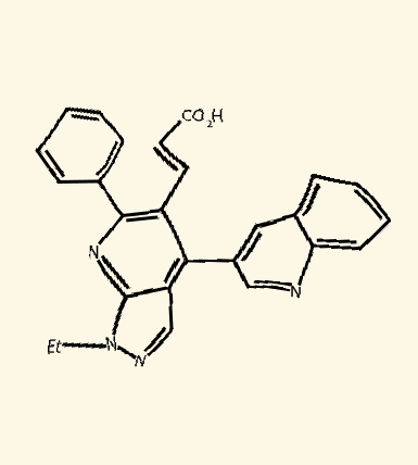 CCn1ncc2c(-c3cnc4ccccc4c3)c(C=CC(=O)O)c(-c3ccccc3)nc21